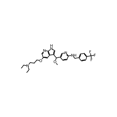 CCN(CC)CCCOc1cnc2[nH]cc(C(OC)c3ccc(NCc4ccc(C(F)(F)F)cc4)nc3)c2c1